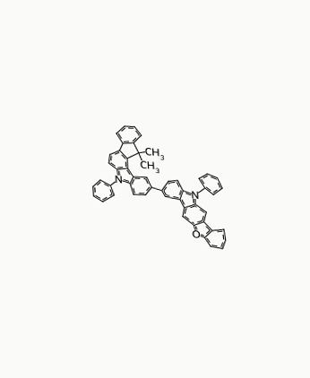 CC1(C)c2ccccc2-c2ccc3c(c21)c1cc(-c2ccc4c(c2)c2cc5oc6ccccc6c5cc2n4-c2ccccc2)ccc1n3-c1ccccc1